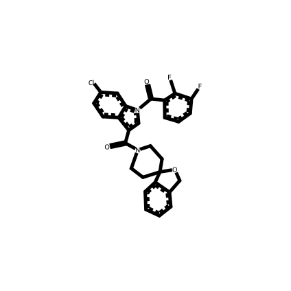 O=C(c1cn(C(=O)c2cccc(F)c2F)c2cc(Cl)ccc12)N1CCC2(CC1)OCc1ccccc12